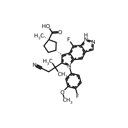 COc1cc(-n2c(C(C)(C)CC#N)c([C@@H]3CC[C@@](C)(C(=O)O)C3)c3c(F)c4[nH]ncc4cc32)ccc1F